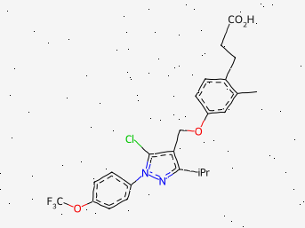 Cc1cc(OCc2c(C(C)C)nn(-c3ccc(OC(F)(F)F)cc3)c2Cl)ccc1CCC(=O)O